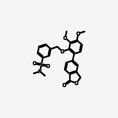 COc1ccc(-c2ccc3c(c2)COC3=O)c(OCc2cccc(S(=O)(=O)N(C)C)c2)c1OC